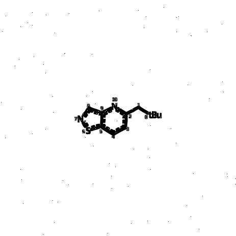 CC(C)(C)Cc1ccc2sncc2n1